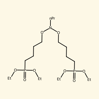 CCCN(OCCCCP(=O)(OCC)OCC)OCCCCP(=O)(OCC)OCC